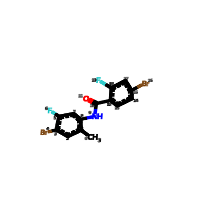 Cc1cc(Br)c(F)cc1NC(=O)c1ccc(Br)cc1F